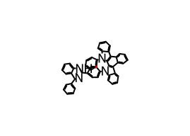 c1ccc(C2=NC(c3ccc(-n4c5ccccc5c5c6ccccc6c6c7ccccc7n(-c7ccccc7)c6c54)cc3)Nc3ccccc32)cc1